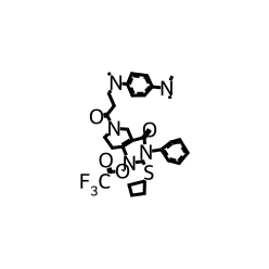 CN(C)c1ccc(N(C)CCC(=O)N2CCC3=C(C2)C(=O)N(c2ccccc2)C(SC2CCC2)N3OC(=O)C(F)(F)F)cc1